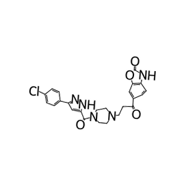 O=C(CCN1CCN(C(=O)c2cc(-c3ccc(Cl)cc3)n[nH]2)CC1)c1ccc2[nH]c(=O)oc2c1